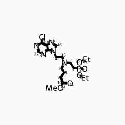 CCOP(=O)(CCN(CCCC(=O)OC)CCn1cnc2c(Cl)ncnc21)OCC